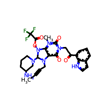 CC#CCN1c2c(n(C)c(=O)n(CC(=O)c3cccc4cc[nH]c34)c2=O)N(OC(=O)C(F)(F)F)C1N1CCCC(N)C1